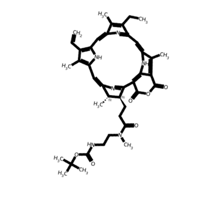 C=Cc1c(C)c2cc3nc(c4c5[nH]c(cc6nc(cc1[nH]2)C(C)=C6CC)c(C)c5C(=O)OC4=O)[C@@H](CCC(=O)N(C)CCNC(=O)OC(C)(C)C)[C@@H]3C